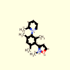 Cc1cc(C)c(-[n+]2ccccc2C)c(C)c1-c1cco[n+]1C